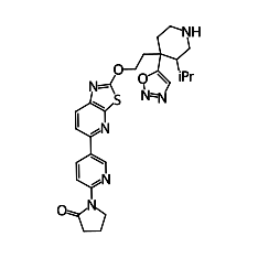 CC(C)C1CNCCC1(CCOc1nc2ccc(-c3ccc(N4CCCC4=O)nc3)nc2s1)c1cnno1